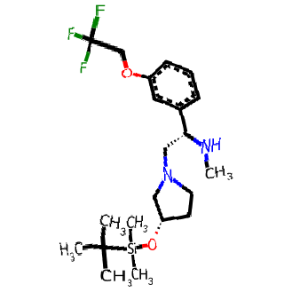 CN[C@H](CN1CC[C@H](O[Si](C)(C)C(C)(C)C)C1)c1cccc(OCC(F)(F)F)c1